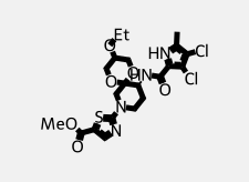 CCOC1COC2(CN(c3ncc(C(=O)OC)s3)CC[C@H]2NC(=O)c2[nH]c(C)c(Cl)c2Cl)OC1